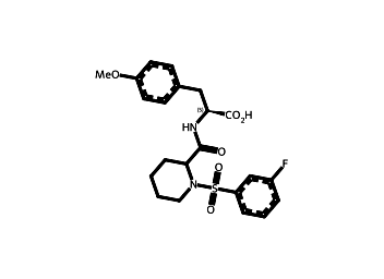 COc1ccc(C[C@H](NC(=O)C2CCCCN2S(=O)(=O)c2cccc(F)c2)C(=O)O)cc1